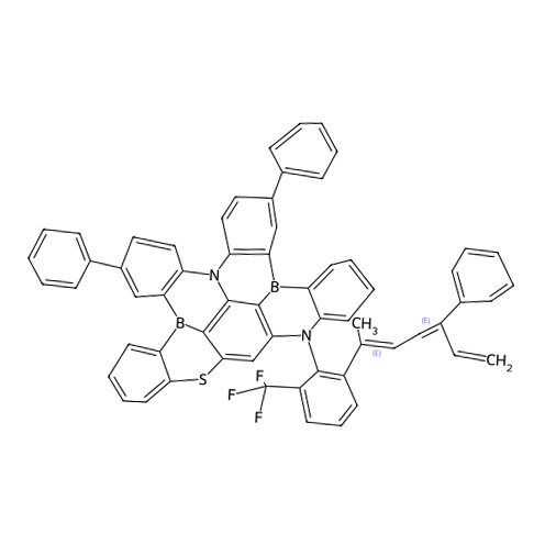 C=C/C(=C\C=C(/C)c1cccc(C(F)(F)F)c1N1c2ccccc2B2c3cc(-c4ccccc4)ccc3N3c4ccc(-c5ccccc5)cc4B4c5ccccc5Sc5cc1c2c3c54)c1ccccc1